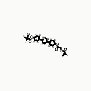 C=C(C)C(=O)OCC(=O)Oc1ccc(C(/C=C\C(=C)c2ccc(OC(=O)C(C)(C)C)cc2)=C/C)cc1